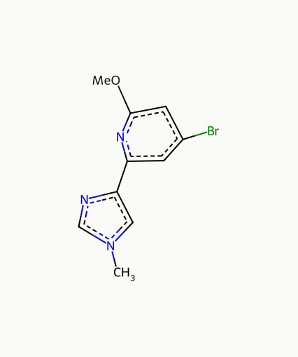 COc1cc(Br)cc(-c2cn(C)cn2)n1